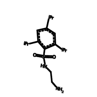 CC(C)c1cc(C(C)C)c(S(=O)(=O)NCCN)c(C(C)C)c1